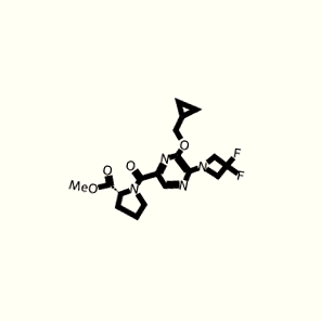 COC(=O)[C@H]1CCCN1C(=O)c1cnc(N2CC(F)(F)C2)c(OCC2CC2)n1